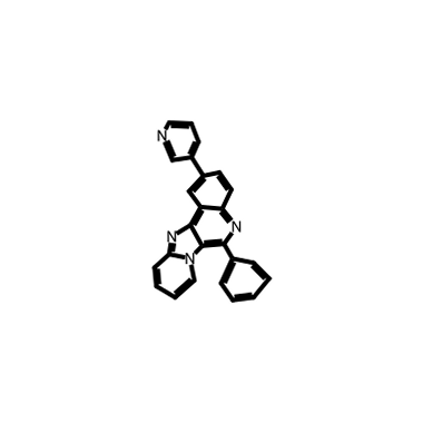 c1ccc(-c2nc3ccc(-c4cccnc4)cc3c3nc4ccccn4c23)cc1